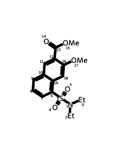 CCN(CC)S(=O)(=O)c1cccc2cc(C(=O)OC)c(OC)cc12